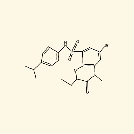 CCC1Oc2c(cc(Br)cc2S(=O)(=O)Nc2ccc(C(C)C)cc2)N(C)C1=O